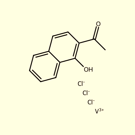 CC(=O)c1ccc2ccccc2c1O.[Cl-].[Cl-].[Cl-].[V+3]